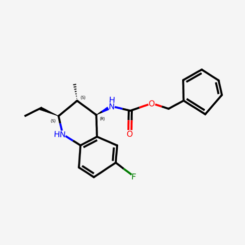 CC[C@@H]1Nc2ccc(F)cc2[C@H](NC(=O)OCc2ccccc2)[C@H]1C